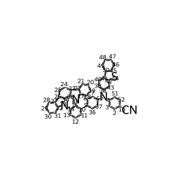 N#Cc1ccc(N(c2ccc(-c3cccc4c3n3c5ccccc5c5ccc6c7ccccc7n4c6c53)cc2)c2ccc3c(c2)sc2ccccc23)cc1